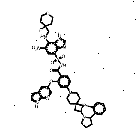 CC(C)c1ccccc1C1CCCN1C1CC2(CCN(c3ccc(C(=O)NS(=O)(=O)c4cc([N+](=O)[O-])c(NCC5(F)CCOCC5)c5[nH]cnc45)c(Oc4cnc5[nH]ccc5c4)c3)CC2)C1